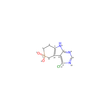 O=S1(=O)CCc2[nH]c3ncnc(Cl)c3c2C1